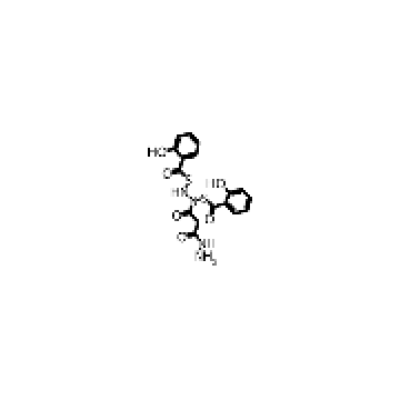 NNC(=O)CC(=O)N(NSC(=O)c1ccccc1O)SC(=O)c1ccccc1O